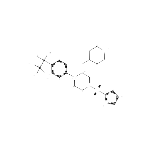 CC(O)(c1ccc(N2CCN(S(=O)(=O)c3cccs3)C[C@H]2CC2CCOCC2)cc1)C(F)(F)F